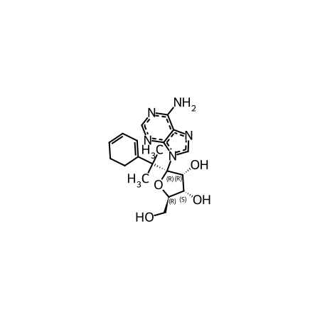 CC(C)(C1=CC=CCC1)[C@@]1(n2cnc3c(N)ncnc32)O[C@H](CO)[C@@H](O)[C@H]1O